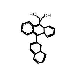 OB(O)C1=c2ccccc2=C(C2=CC=C3C=CC=CC3C2)C2C=CC=CC12